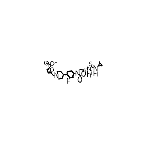 O=C1O[C@@H](CNC(=S)NC2CC2)CN1c1ccc(C2CCN(Cc3ccc([N+](=O)[O-])o3)CC2)c(F)c1